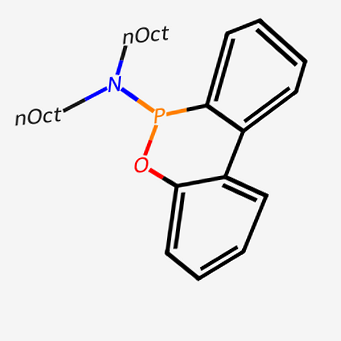 CCCCCCCCN(CCCCCCCC)P1Oc2ccccc2-c2ccccc21